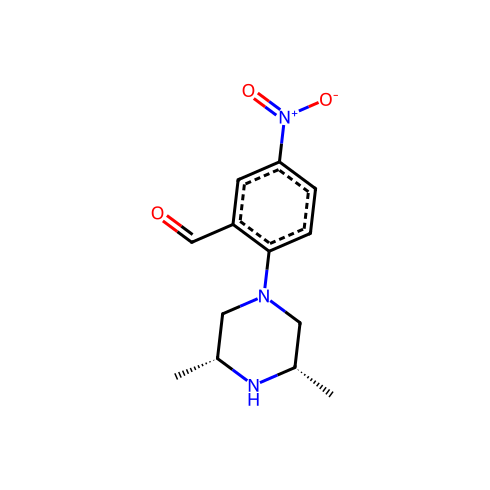 C[C@@H]1CN(c2ccc([N+](=O)[O-])cc2C=O)C[C@H](C)N1